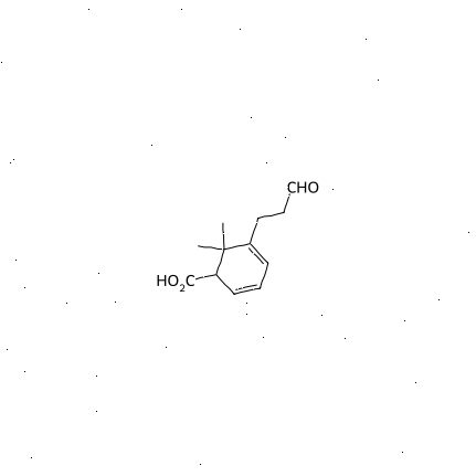 CC1(C)C(CCC=O)=CC=CC1C(=O)O